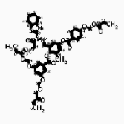 C=CC(=O)COCOc1cc(OCOC(=O)C=C)cc(C(=O)Oc2c(C)cc(OC(=O)c3ccc(OCOC(=O)C=C)cc3)cc2/C=N/N(C(=O)C=C)c2nc3ccccc3s2)c1